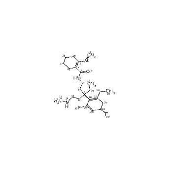 C=NC1=C(C(=O)NCCC(CC)(CCNC)C2=C(CC)CC(F)C=C2F)CCCC1